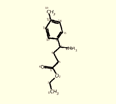 CCOC(=O)CCC(N)c1ccc(C)cc1